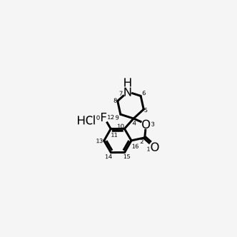 Cl.O=C1OC2(CCNCC2)c2c(F)cccc21